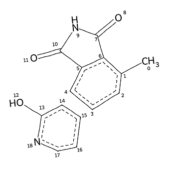 Cc1cccc2c1C(=O)NC2=O.Oc1ccccn1